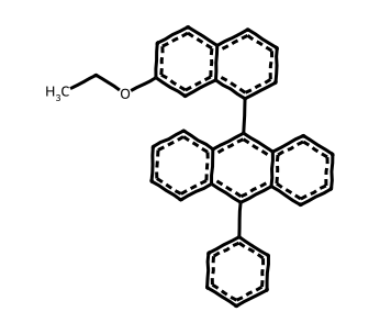 CCOc1ccc2cccc(-c3c4ccccc4c(-c4ccccc4)c4ccccc34)c2c1